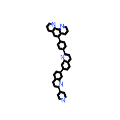 c1cnc2c(c1)cc(-c1ccc(-c3ccc4ccc(-c5ccc6ccc(-c7ccncc7)nc6c5)cc4n3)cc1)c1cccnc12